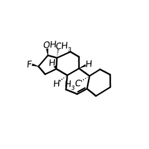 C[C@]12CC[C@H]3[C@@H](CC=C4CCCC[C@@]43C)[C@@H]1C[C@@H](F)[C@H]2O